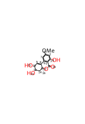 COc1cc(O)c2c(c1)C1=C[C@@H](O)[C@H](O)C[C@]1(C)OC2=O